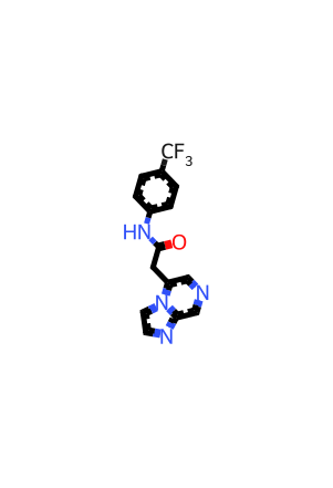 O=C(Cc1cncc2nccn12)Nc1ccc(C(F)(F)F)cc1